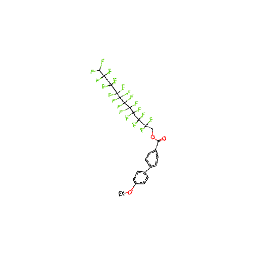 CCOc1ccc(-c2ccc(C(=O)OCC(F)(F)C(F)(F)C(F)(F)C(F)(F)C(F)(F)C(F)(F)C(F)(F)C(F)(F)C(F)(F)C(F)F)cc2)cc1